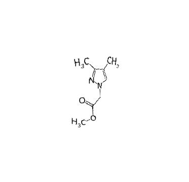 COC(=O)Cn1cc(C)c(C)n1